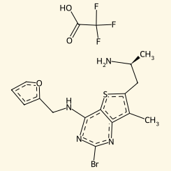 Cc1c(C[C@H](C)N)sc2c(NCc3ccco3)nc(Br)nc12.O=C(O)C(F)(F)F